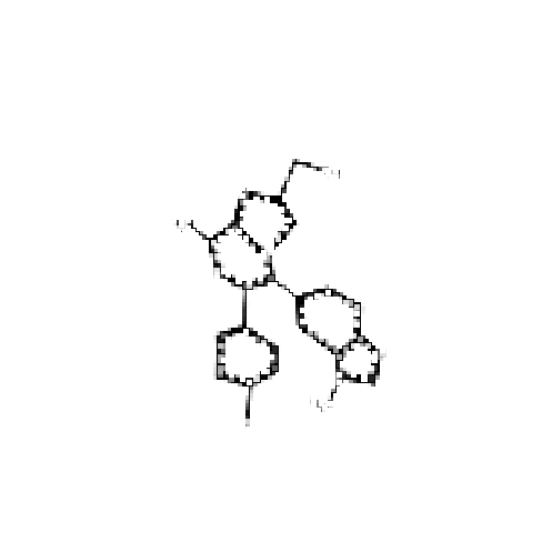 Cn1cnc2ccc(-c3c(-c4ccc(F)cc4)nc(N)c4nc(CO)cn34)cc21